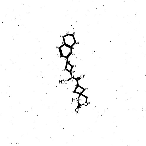 CN(C(=O)C1CC2(COC(=O)N2)C1)C1CC(c2ccc3c(c2)CCCC3)C1